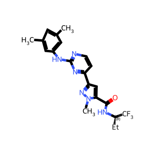 CC[C@@H](NC(=O)c1cc(-c2ccnc(Nc3cc(C)cc(C)c3)n2)nn1C)C(F)(F)F